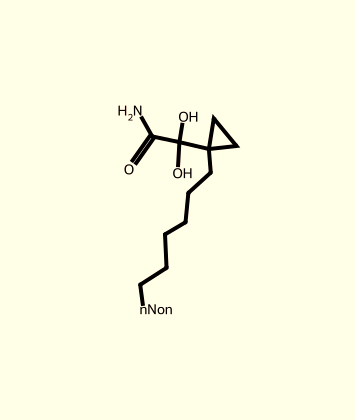 CCCCCCCCCCCCCCCC1(C(O)(O)C(N)=O)CC1